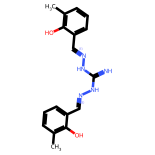 Cc1cccc(/C=N/NC(=N)N/N=C/c2cccc(C)c2O)c1O